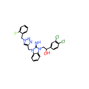 N=c1n(Cc2cn(Cc3ccccc3F)nn2)c2ccccc2n1CC(O)c1ccc(Cl)c(Cl)c1